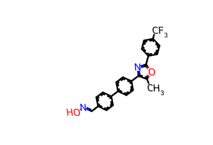 Cc1oc(-c2ccc(C(F)(F)F)cc2)nc1-c1ccc(-c2ccc(C=NO)cc2)cc1